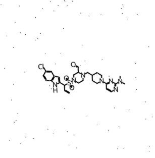 C=CC(c1cc2cc(Cl)ccc2[nH]1)S(=O)(=O)N1CCN(CC2CCN(c3ccnc(N(C)C)n3)CC2)C(C=O)C1